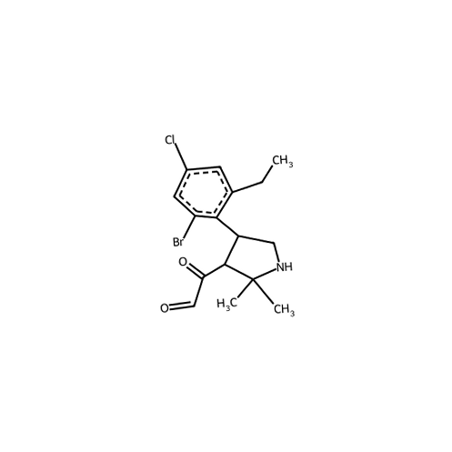 CCc1cc(Cl)cc(Br)c1C1CNC(C)(C)C1C(=O)C=O